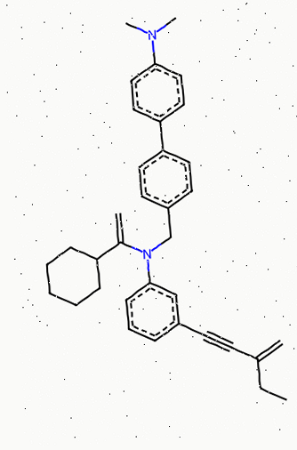 C=C(C#Cc1cccc(N(Cc2ccc(-c3ccc(N(C)C)cc3)cc2)C(=C)C2CCCCC2)c1)CC